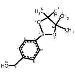 CC1(C)OB(c2ccc(CO)cc2)OC1(C)C